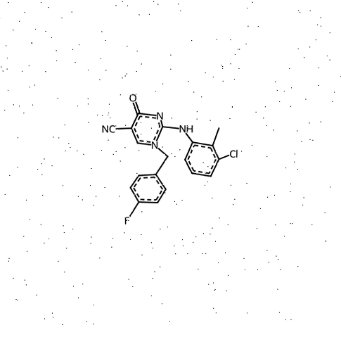 Cc1c(Cl)cccc1Nc1nc(=O)c(C#N)cn1Cc1ccc(F)cc1